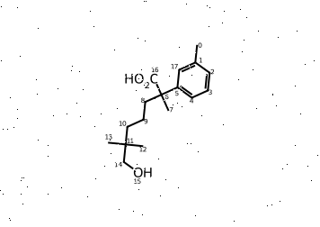 Cc1cccc(C(C)(CCCC(C)(C)CO)C(=O)O)c1